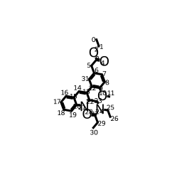 CCOC(=O)Cc1ccc(OC)c(-c2cc3ccccc3nc2CN(CC)C(=O)CC)c1